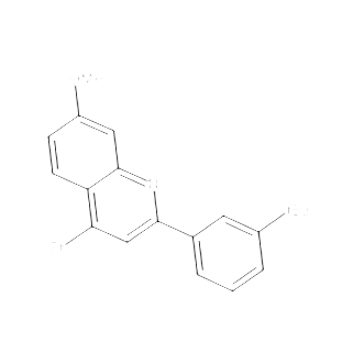 CCc1cc(-c2cccc(C(C)(C)C)c2)nc2cc(OC)ccc12